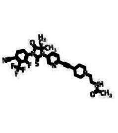 CC(=O)NCCN1CCC(C#Cc2ccc(N3C(=S)N(c4ccc(C#N)c(C(F)(F)F)c4F)C(=O)C3(C)C)cn2)CC1